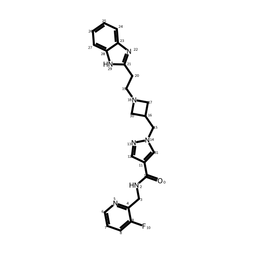 O=C(NCc1ncccc1F)c1cnn(CC2CN(CCc3nc4ccccc4[nH]3)C2)c1